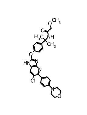 COCC(=O)NC(C)(C)c1ccc(Oc2nc3nc(-c4ccc(N5CCOCC5)cc4)c(Cl)cc3[nH]2)cc1